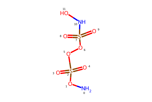 NOS(=O)(=O)OOS(=O)(=O)NO